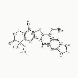 CCC1(O)C(=O)OCc2c1cc1n(c2=O)Cc2c-1nc1cc3c(cc1c2CN)OCO3